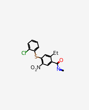 C=NC(=O)c1cc([N+](=O)[O-])c(Sc2ccccc2Cl)cc1CC